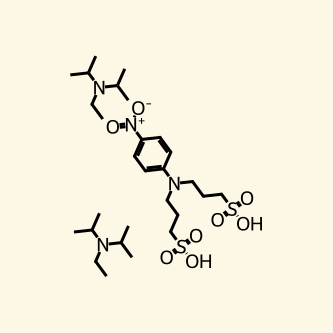 CCN(C(C)C)C(C)C.CCN(C(C)C)C(C)C.O=[N+]([O-])c1ccc(N(CCCS(=O)(=O)O)CCCS(=O)(=O)O)cc1